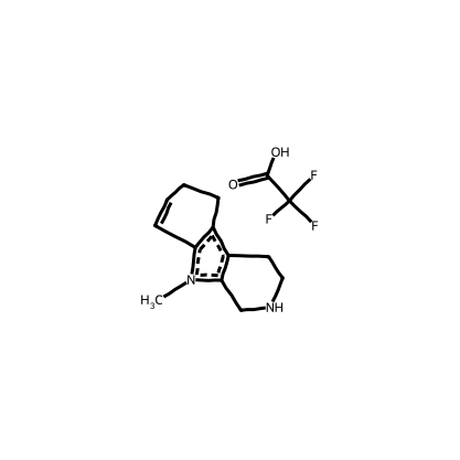 Cn1c2c(c3c1CNCC3)CCC=C2.O=C(O)C(F)(F)F